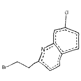 Clc1ccc2ccc(CCBr)nc2c1